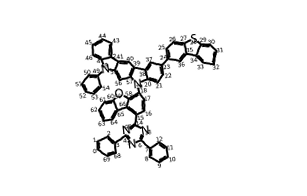 c1ccc(-c2nc(-c3ccccc3)nc(-c3ccc(-n4c5ccc(-c6ccc7sc8ccccc8c7c6)cc5c5cc6c7ccccc7n(-c7ccccc7)c6cc54)c4oc5ccccc5c34)n2)cc1